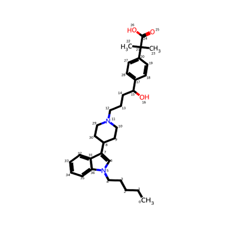 CCCCCn1cc(C2CCN(CCCC(O)c3ccc(C(C)(C)C(=O)O)cc3)CC2)c2ccccc21